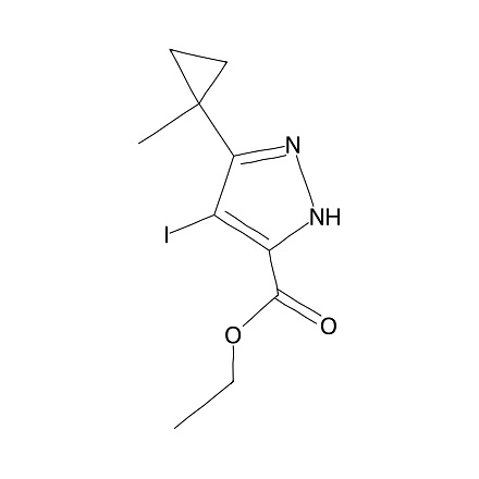 CCOC(=O)c1[nH]nc(C2(C)CC2)c1I